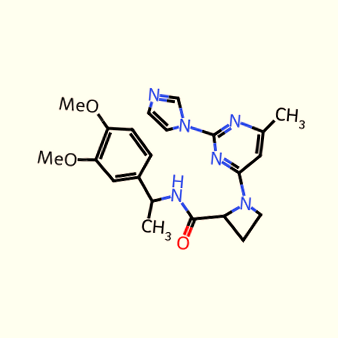 COc1ccc(C(C)NC(=O)C2CCN2c2cc(C)nc(-n3ccnc3)n2)cc1OC